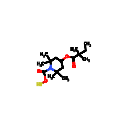 CCC(C)(C)C(=O)OC1CC(C)(C)N(C(=O)OS)C(C)(C)C1